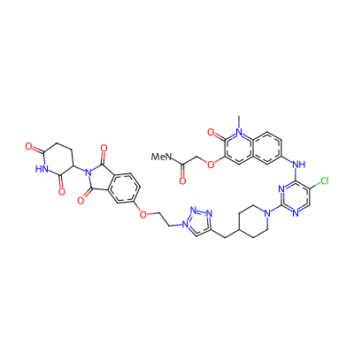 CNC(=O)COc1cc2cc(Nc3nc(N4CCC(Cc5cn(CCOc6ccc7c(c6)C(=O)N(C6CCC(=O)NC6=O)C7=O)nn5)CC4)ncc3Cl)ccc2n(C)c1=O